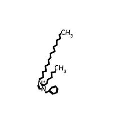 CCCCCCCCCCCCCCCC[n+]1ccn(Cc2ccccc2)c1CCCCCC